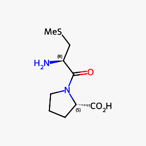 CSC[C@H](N)C(=O)N1CCC[C@H]1C(=O)O